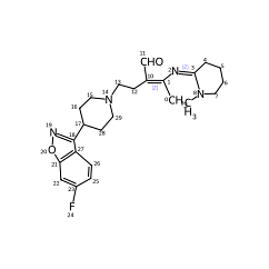 CC(/N=C1/CCCCN1C)=C(/C=O)CCN1CCC(c2noc3cc(F)ccc23)CC1